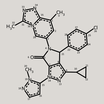 Cc1cc(N2C(=O)c3c(c(C4CC4)nn3-c3ccnn3C)C2c2ccc(Cl)cc2)cn2c(C)nnc12